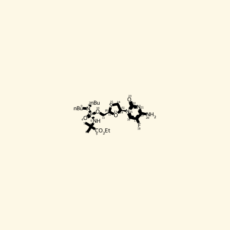 CCCCN(CCCC)P(=O)(NC(C)(C)C(=O)OCC)OC[C@@H]1O[C@H](n2cc(F)c(N)nc2=O)CS1